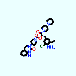 CCc1cc(C[C@@H](OC(=O)N2CCC(N3CCc4ccccc4NC3=O)CC2)C(=O)N2CCC(N3CCCCC3)CC2)cc(Cl)c1N